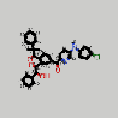 CN(c1ccc(Cl)cc1)c1ccc(C(=O)c2ccc(C(=O)C(C)(C)c3ccccc3)c(C(=O)C(O)c3ccccc3)c2)nc1